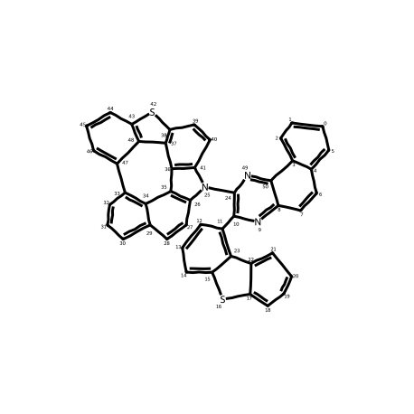 c1ccc2c(c1)ccc1nc(-c3cccc4sc5ccccc5c34)c(-n3c4ccc5cccc6c5c4c4c5c(ccc43)sc3cccc-6c35)nc12